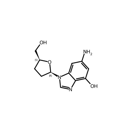 Nc1cc(O)c2ncn([C@H]3CC[C@@H](CO)O3)c2c1